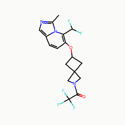 Cc1ncc2ccc(OC3CC4(C3)CN(C(=O)C(F)(F)F)C4)c(C(F)F)n12